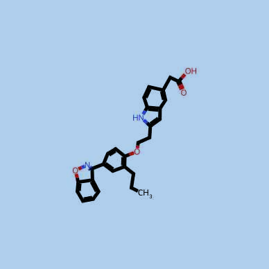 CCCc1cc(-c2noc3ccccc23)ccc1OCCc1cc2cc(CC(=O)O)ccc2[nH]1